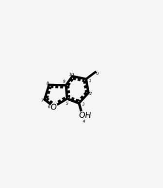 Cc1cc(O)c2occc2c1